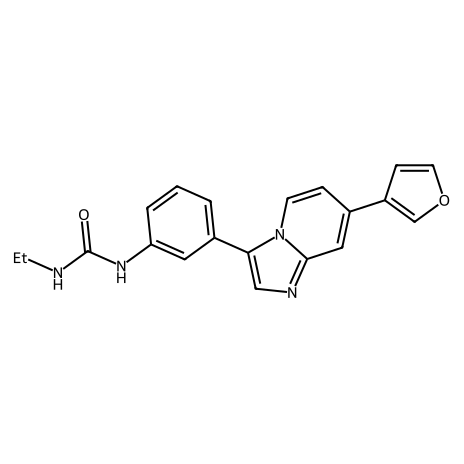 CCNC(=O)Nc1cccc(-c2cnc3cc(-c4ccoc4)ccn23)c1